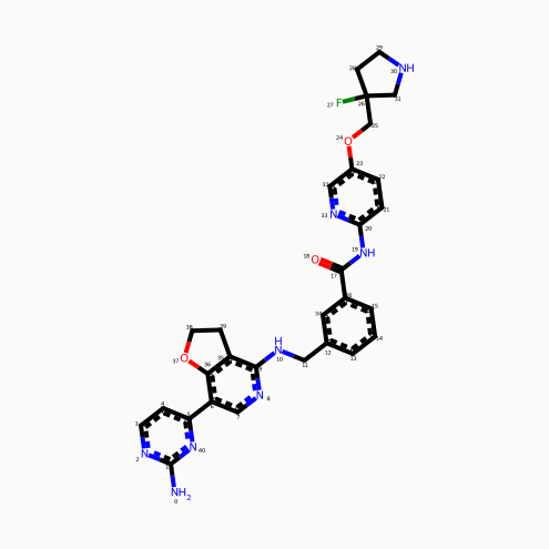 Nc1nccc(-c2cnc(NCc3cccc(C(=O)Nc4ccc(OCC5(F)CCNC5)cn4)c3)c3c2OCC3)n1